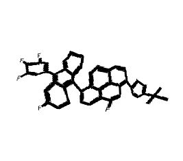 CC(C)(C)c1ccc(-c2ccc3ccc4c(-c5c6ccccc6c(-c6cc(F)c(F)c(F)c6)c6cc(F)ccc56)ccc5c(F)cc2c3c54)cc1